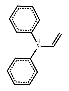 C=C[SiH](c1ccccc1)c1ccccc1